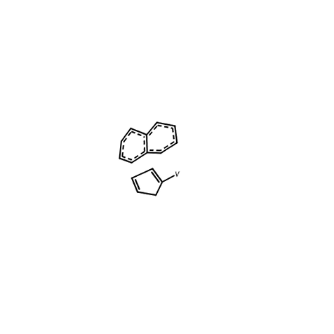 [V][C]1=CC=CC1.c1ccc2ccccc2c1